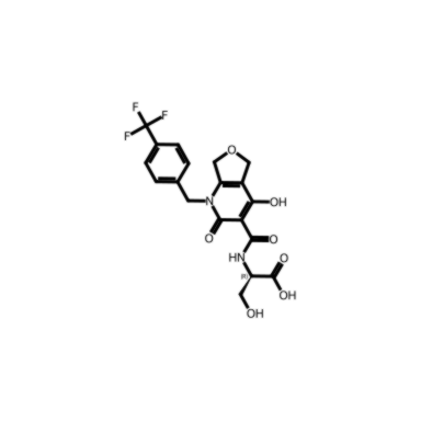 O=C(N[C@H](CO)C(=O)O)c1c(O)c2c(n(Cc3ccc(C(F)(F)F)cc3)c1=O)COC2